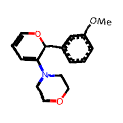 COc1cccc(C2OC=CC=C2N2CCOCC2)c1